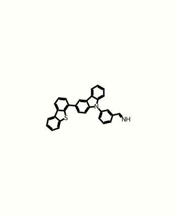 N=Cc1cccc(-n2c3ccccc3c3cc(-c4cccc5c4sc4ccccc45)ccc32)c1